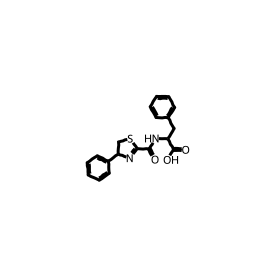 O=C(NC(Cc1ccccc1)C(=O)O)C1=NC(c2ccccc2)CS1